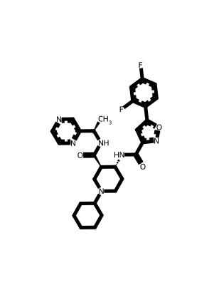 C[C@@H](NC(=O)[C@@H]1CN(C2CCCCC2)CC[C@H]1NC(=O)c1cc(-c2ccc(F)cc2F)on1)c1cnccn1